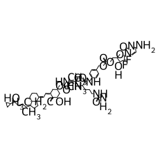 C=C1/C(=C\C=C2/CCC[C@@]3(C)C2CCC3[C@@H](C)/C=C/C(O)C2CC2)C[C@@H](OC(=O)NC(C)(C)C(=O)NC(CCCNC(N)=O)C(=O)Nc2ccc(COC(=O)OCC3OC(n4ccc(N)nc4=O)C(F)(F)C3O)cc2)C[C@@H]1O